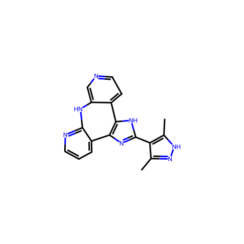 Cc1n[nH]c(C)c1-c1nc2c([nH]1)-c1ccncc1Nc1ncccc1-2